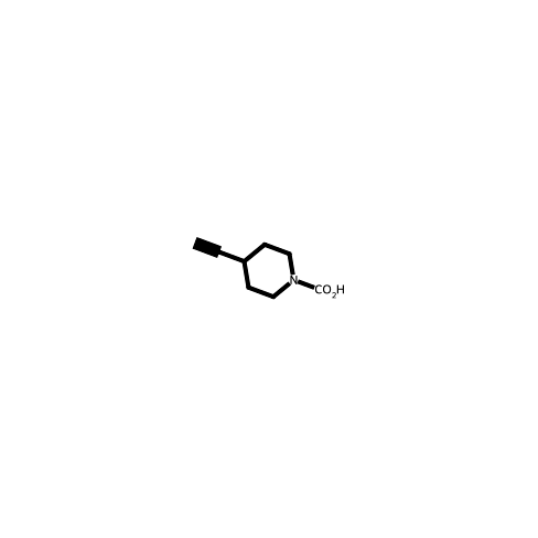 C#CC1CCN(C(=O)O)CC1